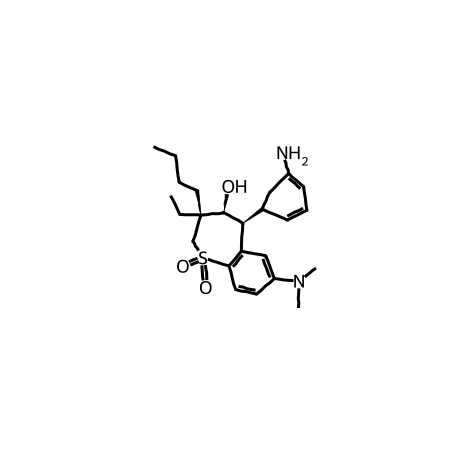 CCCC[C@]1(CC)CS(=O)(=O)c2ccc(N(C)C)cc2[C@H](C2C=CC=C(N)C2)[C@@H]1O